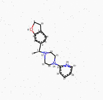 C[C@@H](c1ccc2c(c1)OCC2)N1CCN(c2cc[c]cn2)CC1